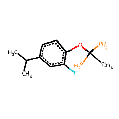 CC(C)c1ccc(OC(C)(P)P)c(F)c1